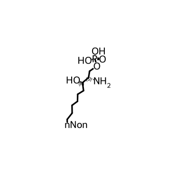 CCCCCCCCCCCCCCC[C@@H](O)[C@@H](N)COP(=O)(O)O